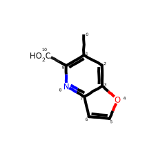 Cc1cc2occc2nc1C(=O)O